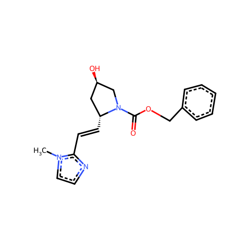 Cn1ccnc1C=C[C@@H]1C[C@@H](O)CN1C(=O)OCc1ccccc1